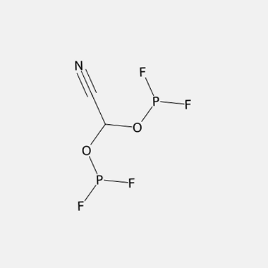 N#CC(OP(F)F)OP(F)F